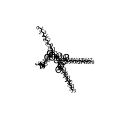 CCCCCCCCCCCCC(CCC(=O)OC(COC(=O)CCCCCCCCCCC)COC(=O)CCCCCCCCCCC)OC(=O)OCCCN(C)CC